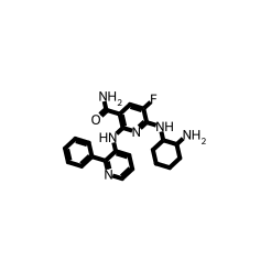 NC(=O)c1cc(F)c(NC2CCCCC2N)nc1Nc1cccnc1-c1ccccc1